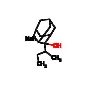 CCC(C)C1(O)C2CC3CC(C2)CC1C3.[NaH]